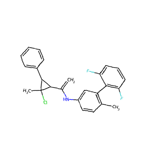 C=C(Nc1ccc(C)c(-c2c(F)cccc2F)c1)C1C(c2ccccc2)C1(C)Cl